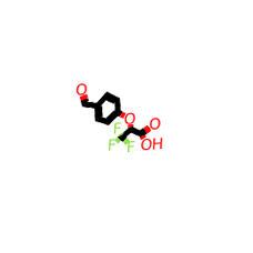 O=Cc1ccc(OC(C(=O)O)C(F)(F)F)cc1